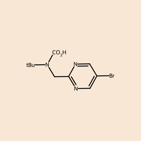 CC(C)(C)N(Cc1ncc(Br)cn1)C(=O)O